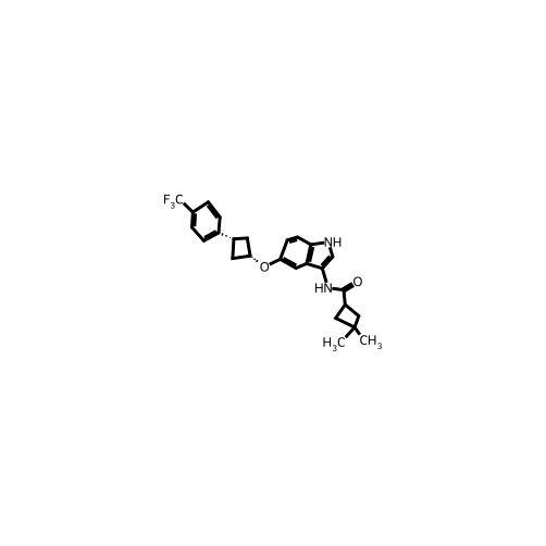 CC1(C)CC(C(=O)Nc2c[nH]c3ccc(O[C@H]4C[C@@H](c5ccc(C(F)(F)F)cc5)C4)cc23)C1